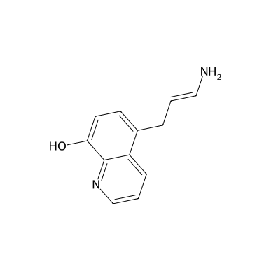 NC=CCc1ccc(O)c2ncccc12